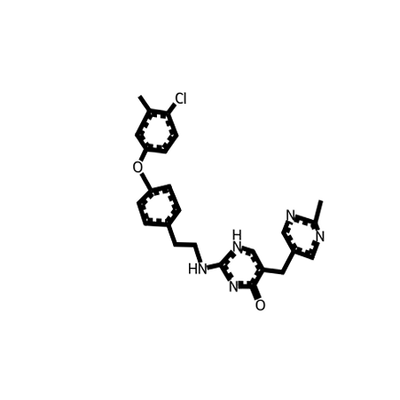 Cc1ncc(Cc2c[nH]c(NCCc3ccc(Oc4ccc(Cl)c(C)c4)cc3)nc2=O)cn1